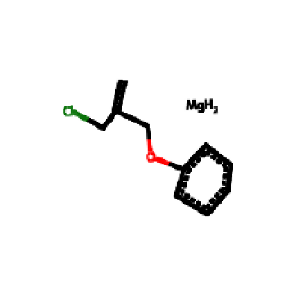 C=C(CCl)COc1ccccc1.[MgH2]